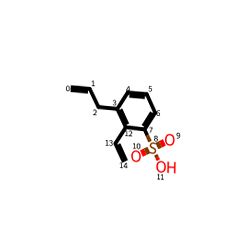 C=CCc1cccc(S(=O)(=O)O)c1C=C